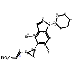 CCOC(=O)/C=C/[C@H]1C[C@H]1c1c(Cl)cc2c(cnn2[C@H]2CCCCO2)c1Br